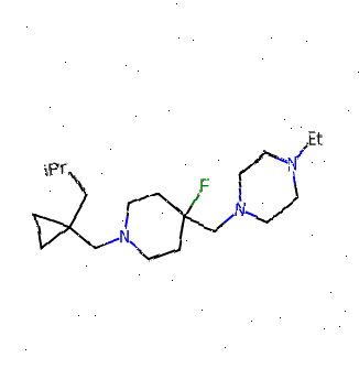 CCN1CCN(CC2(F)CCN(CC3(CC(C)C)CC3)CC2)CC1